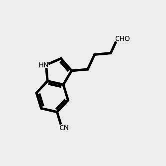 N#Cc1ccc2[nH]cc(CCCC=O)c2c1